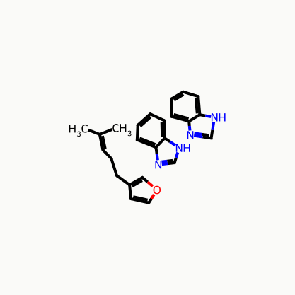 CC(C)=CCCc1ccoc1.c1ccc2[nH]cnc2c1.c1ccc2[nH]cnc2c1